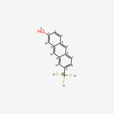 Oc1ccc2cc3ccc(C(F)(F)F)cc3cc2c1